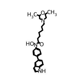 CC1CN(CCCCCCC(=O)N(O)c2ccc(-c3ccc4[nH]ccc4c3)cc2)CC(C)O1